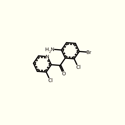 Nc1ccc(Br)c(Cl)c1C(=O)c1ncccc1Cl